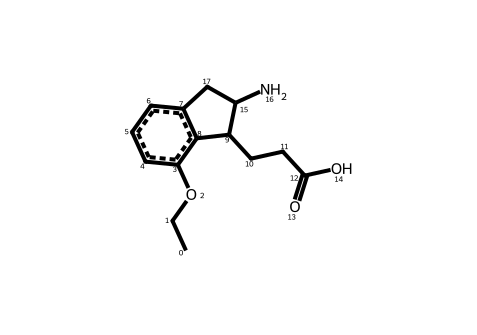 CCOc1cccc2c1C(CCC(=O)O)C(N)C2